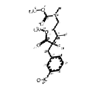 C[C@H](CCN(C)C(=O)OC(C)(C)C)C(F)(Cc1cccc(C=O)c1)C(=O)OC(C)(C)C